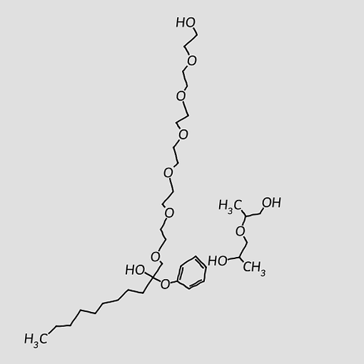 CC(O)COC(C)CO.CCCCCCCCCC(O)(COCCOCCOCCOCCOCCOCCO)Oc1ccccc1